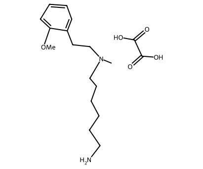 COc1ccccc1CCN(C)CCCCCCN.O=C(O)C(=O)O